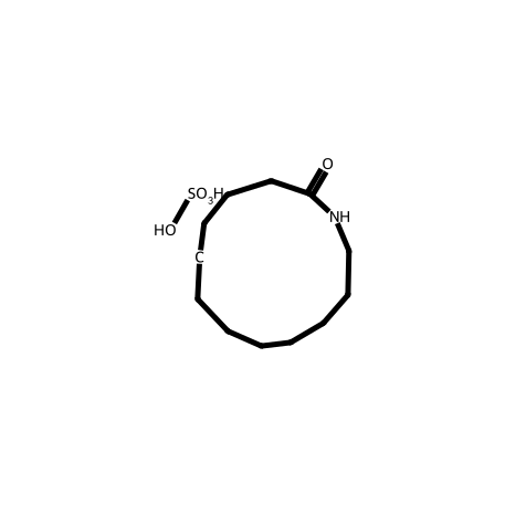 O=C1CCCCCCCCCCCN1.O=S(=O)(O)O